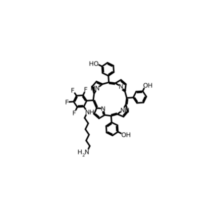 NCCCCCCNc1c(F)c(F)c(F)c(F)c1-c1c2nc(c(-c3cccc(O)c3)c3ccc([nH]3)c(-c3cccc(O)c3)c3nc(c(-c4cccc(O)c4)c4ccc1[nH]4)C=C3)C=C2